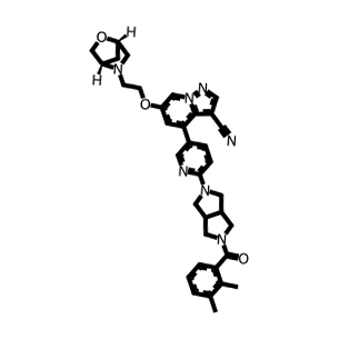 Cc1cccc(C(=O)N2CC3CN(c4ccc(-c5cc(OCCN6C[C@@H]7C[C@H]6CO7)cn6ncc(C#N)c56)cn4)CC3C2)c1C